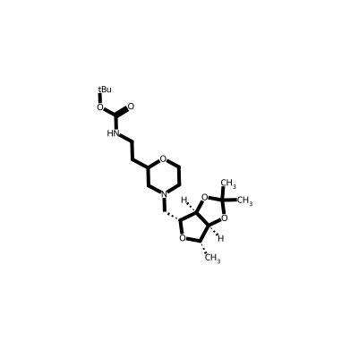 C[C@@H]1O[C@H](CN2CCOC(CCNC(=O)OC(C)(C)C)C2)[C@H]2OC(C)(C)O[C@H]21